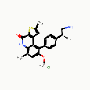 COc1cc(C)c2[nH]c(=O)c3sc(C)cc3c2c1-c1ccc([C@@H](C)CN)cc1.Cl